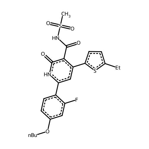 CCCCOc1ccc(-c2cc(-c3ccc(CC)s3)c(C(=O)NS(C)(=O)=O)c(=O)[nH]2)c(F)c1